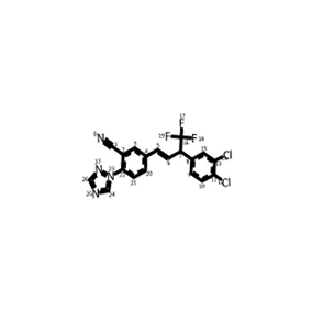 N#Cc1cc(/C=C/C(c2ccc(Cl)c(Cl)c2)C(F)(F)F)ccc1-n1cncn1